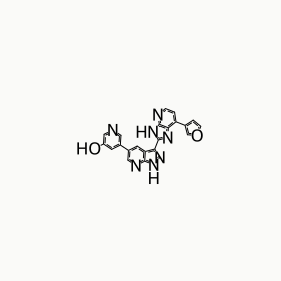 Oc1cncc(-c2cnc3[nH]nc(-c4nc5c(-c6ccoc6)ccnc5[nH]4)c3c2)c1